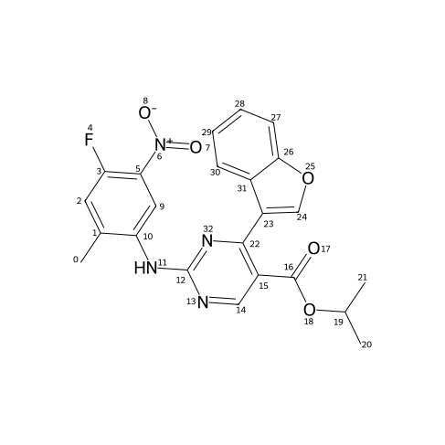 Cc1cc(F)c([N+](=O)[O-])cc1Nc1ncc(C(=O)OC(C)C)c(-c2coc3ccccc23)n1